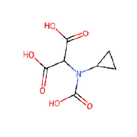 O=C(O)C(C(=O)O)N(C(=O)O)C1CC1